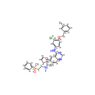 CCC(N(C)CCS(=O)(=O)c1ccccc1)C1(c2ccc3ncnc(Nc4ccc(OCc5cccc(F)c5)c(Br)c4)c3c2)CC=CO1